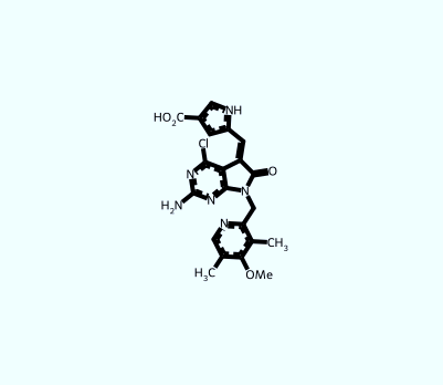 COc1c(C)cnc(CN2C(=O)/C(=C/c3cc(C(=O)O)c[nH]3)c3c(Cl)nc(N)nc32)c1C